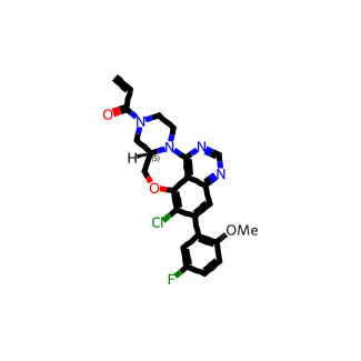 C=CC(=O)N1CCN2c3ncnc4cc(-c5cc(F)ccc5OC)c(Cl)c(c34)OC[C@@H]2C1